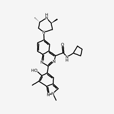 Cc1c(O)c(-c2nc(C(=O)NC3CCC3)c3cc(N4C[C@H](C)N[C@@H](C)C4)ccc3n2)cc2cn(C)nc12